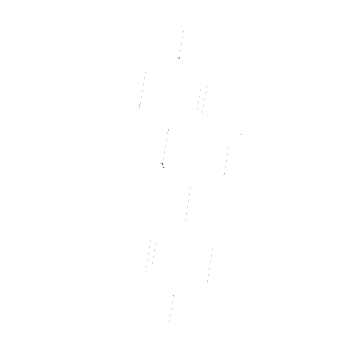 COc1ccc(-c2coc3cc(OC)cc(OC)c3c2=O)c(OC)c1